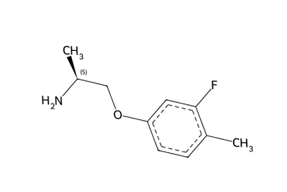 Cc1ccc(OC[C@H](C)N)cc1F